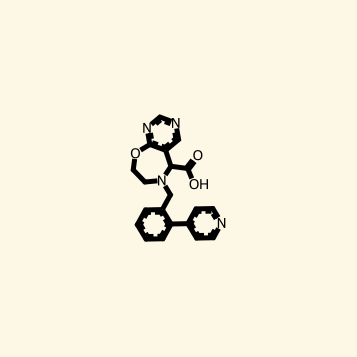 O=C(O)C1c2cncnc2OCCN1Cc1ccccc1-c1ccncc1